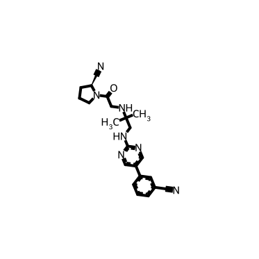 CC(C)(CNc1ncc(-c2cccc(C#N)c2)cn1)NCC(=O)N1CCC[C@H]1C#N